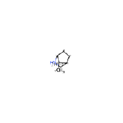 C[C@@H]1C2CCC1NC2